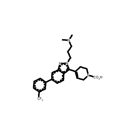 CN(C)CCCn1nc2cc(-c3cccc(C(F)(F)F)c3)ccc2c1C1=CCN(C(=O)O)CC1